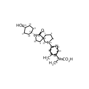 Cc1cc(N2CCC[C@]3(CCN([C@H]4CC[C@H](O)CC4)C3=O)C2)ncc1N(C)C(=O)O